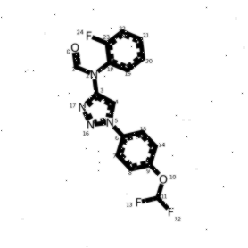 O=CN(c1cn(-c2ccc(OC(F)F)cc2)nn1)c1ccc[c]c1F